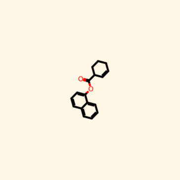 O=C(Oc1cccc2ccccc12)C1C=CCCC1